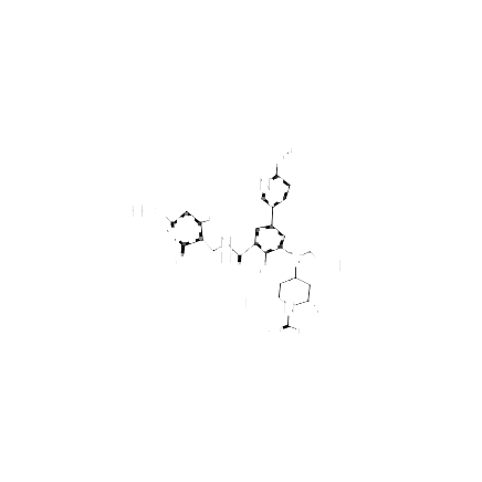 CCN(c1cc(-c2ccc(OC)nc2)cc(C(=O)NCc2c(C)cc(C)[nH]c2=O)c1C)C1C[C@@H](C)N(C(=O)O)[C@H](C)C1